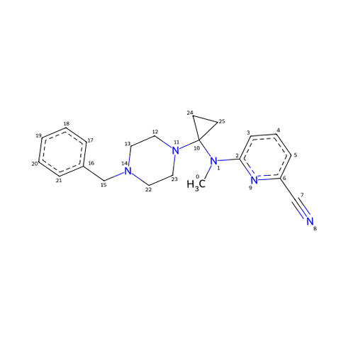 CN(c1cccc(C#N)n1)C1(N2CCN(Cc3ccccc3)CC2)CC1